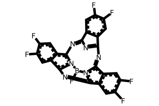 FB1n2c3c4cc(F)c(F)cc4c2/N=C2N=C(/N=c4/c5cc(F)c(F)cc5c(n41)=N3)c1cc(F)c(F)cc1\2